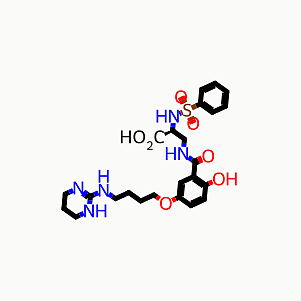 O=C(NC[C@H](NS(=O)(=O)c1ccccc1)C(=O)O)c1cc(OCCCCNC2=NCCCN2)ccc1O